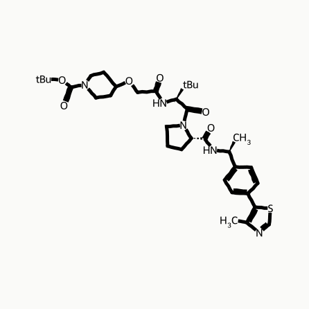 Cc1ncsc1-c1ccc([C@H](C)NC(=O)[C@@H]2CCCN2C(=O)[C@@H](NC(=O)COC2CCN(C(=O)OC(C)(C)C)CC2)C(C)(C)C)cc1